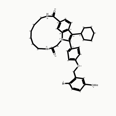 COc1ccc(Br)c(COc2ccc(-c3c(C4CCCCC4)c4ccc5cc4n3CC(=O)NCCCCCCNC5=O)cc2)c1